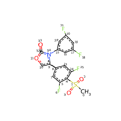 CS(=O)(=O)c1c(F)cc(-c2coc(=O)n2-c2cc(F)cc(F)c2)cc1F